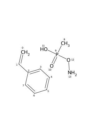 C=Cc1ccccc1.CP(=O)(O)ON